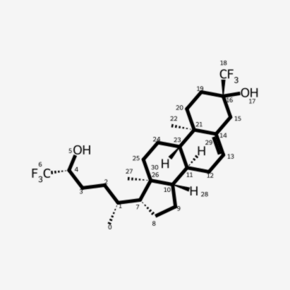 C[C@H](CC[C@@H](O)C(F)(F)F)[C@H]1CC[C@H]2[C@@H]3CC=C4C[C@](O)(C(F)(F)F)CC[C@]4(C)[C@H]3CC[C@]12C